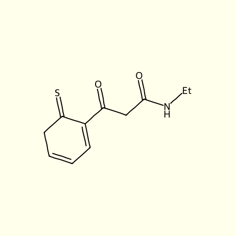 CCNC(=O)CC(=O)C1=CC=CCC1=S